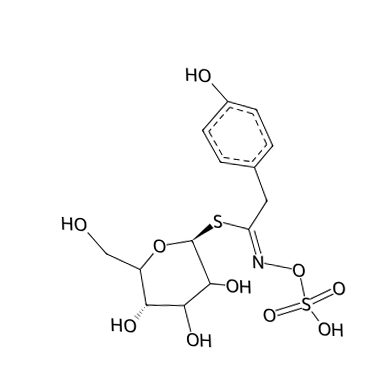 O=S(=O)(O)O/N=C(\Cc1ccc(O)cc1)S[C@@H]1OC(CO)[C@@H](O)C(O)C1O